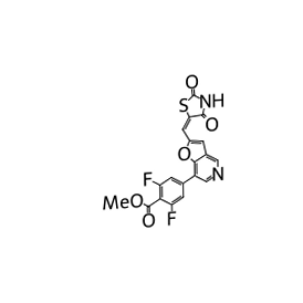 COC(=O)c1c(F)cc(-c2cncc3cc(C=C4SC(=O)NC4=O)oc23)cc1F